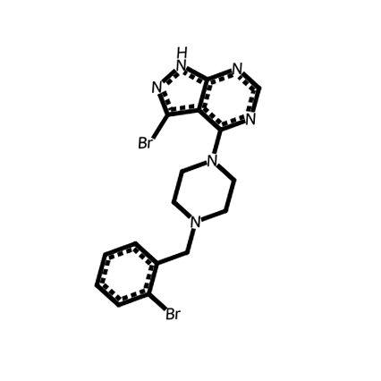 Brc1ccccc1CN1CCN(c2ncnc3[nH]nc(Br)c23)CC1